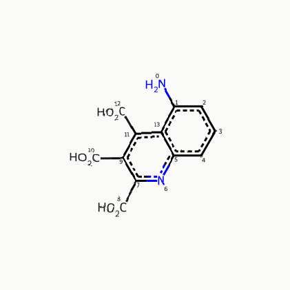 Nc1cccc2nc(C(=O)O)c(C(=O)O)c(C(=O)O)c12